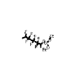 CCO[SiH](OCC)OC(C)C(F)(F)C(F)(F)C(F)(F)C(C)F